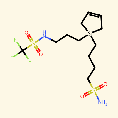 NS(=O)(=O)CCCC[Si]1(CCCNS(=O)(=O)C(F)(F)F)CC=CC1